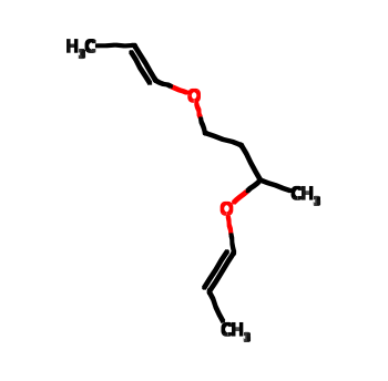 CC=COCCC(C)OC=CC